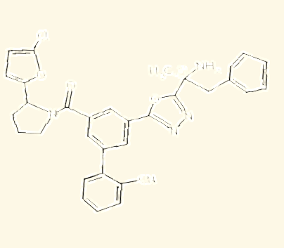 C[C@](N)(Cc1ccccc1)c1nnc(-c2cc(C(=O)N3CCCC3c3ccc(Cl)o3)cc(-c3ccccc3C#N)c2)o1